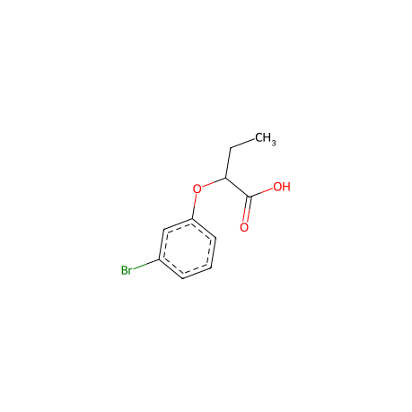 CCC(Oc1cccc(Br)c1)C(=O)O